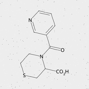 O=C(O)C1CSCCN1C(=O)c1cccnc1